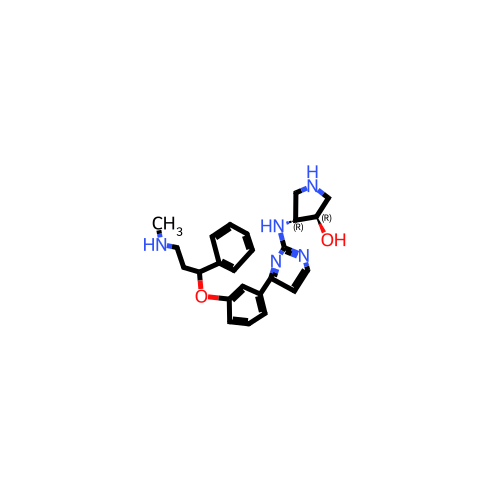 CNCCC(Oc1cccc(-c2ccnc(N[C@@H]3CNC[C@H]3O)n2)c1)c1ccccc1